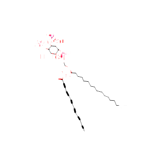 CC#CC#CC#CC#CC#CC#CC(=O)OC[C@H](COP(=O)(O)OC1C(O)[C@@H](O)C(OP(=O)(O)O)[C@@H](OP(=O)(O)O)[C@H]1O)OC(=O)CCCCCCCCCCCCCCC